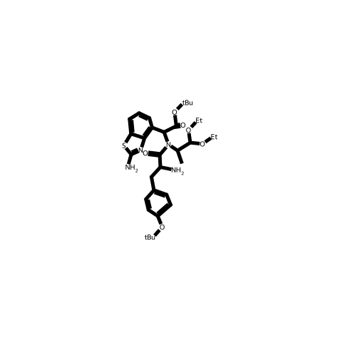 CCOC(OCC)C(C)N(C(=O)C(N)Cc1ccc(OC(C)(C)C)cc1)C(C(=O)OC(C)(C)C)c1cccc2sc(N)nc12